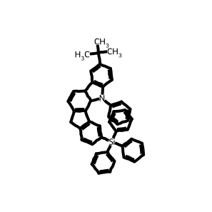 CC(C)(C)c1ccc2c(c1)C1C=CC3=C(c4cc([Si](c5ccccc5)(c5ccccc5)c5ccccc5)ccc4C3)C1N2c1ccccc1